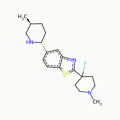 C[C@H]1CC[C@H](c2ccc3sc(C4(F)CCN(C)CC4)nc3c2)NC1